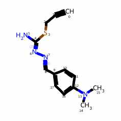 C#CCS/C(N)=N\N=C\c1ccc(N(C)C)cc1